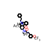 CC(=O)O[C@@]12CCC(N(CC(C)C)C(=O)/C=C/c3cccc(OC(F)(F)F)c3)C3Oc4cccc5c4[C@@]31CCN(CCc1ccccc1)[C@@H]2C5